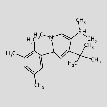 Cc1cc(C)c(C)c(C2C=C(C(C)(C)C)C([SiH](C)C)=CN2C)c1